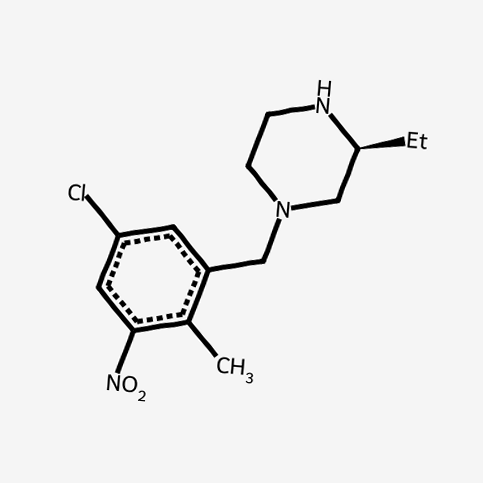 CC[C@H]1CN(Cc2cc(Cl)cc([N+](=O)[O-])c2C)CCN1